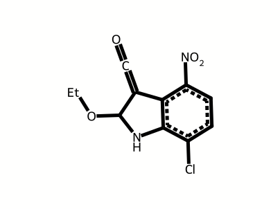 CCOC1Nc2c(Cl)ccc([N+](=O)[O-])c2C1=C=O